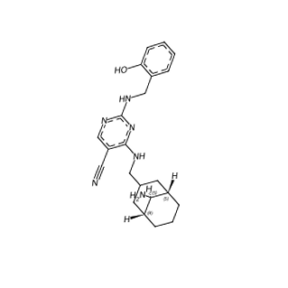 N#Cc1cnc(NCc2ccccc2O)nc1NCC1C[C@H]2CCC[C@@H](C1)[C@@H]2N